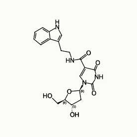 O=C(NCCc1c[nH]c2ccccc12)c1cn([C@H]2C[C@H](O)[C@@H](CO)O2)c(=O)[nH]c1=O